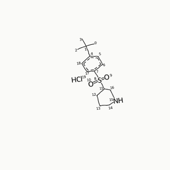 CC(C)(C)c1ccc(S(=O)(=O)C2CCCNC2)cc1.Cl